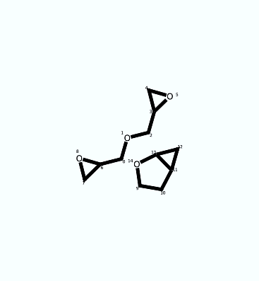 C(OCC1CO1)C1CO1.C1CC2CC2O1